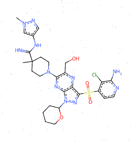 Cn1cc(NC(=N)C2(C)CCN(c3nc4c(nc3CO)c(S(=O)(=O)c3ccnc(N)c3Cl)nn4C3CCCCO3)CC2)cn1